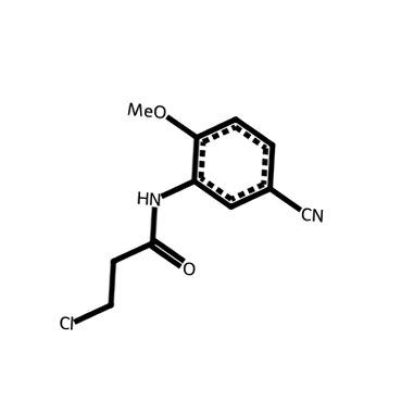 COc1ccc(C#N)cc1NC(=O)CCCl